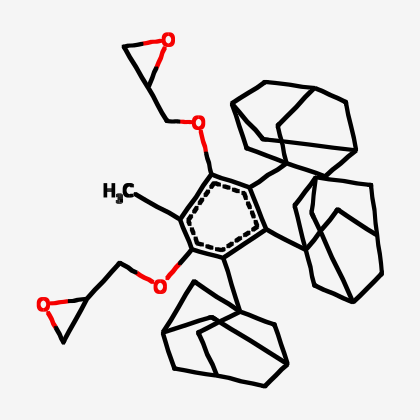 Cc1c(OCC2CO2)c(C23CC4CC(CC(C4)C2)C3)c(C23CC4CC(CC(C4)C2)C3)c(C23CC4CC(CC(C4)C2)C3)c1OCC1CO1